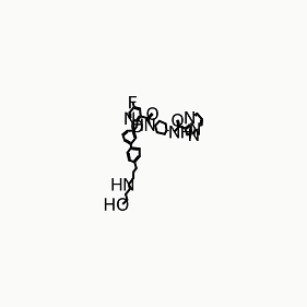 O=C(N[C@H]1CC[C@@H](NC(=O)c2cnn3cccnc23)CC1)c1cc(F)cnc1Oc1cccc(-c2ccc(CCCNCCCO)cc2)c1